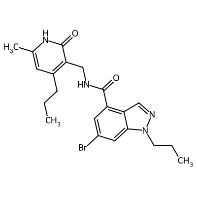 CCCc1cc(C)[nH]c(=O)c1CNC(=O)c1cc(Br)cc2c1cnn2CCC